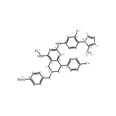 CCNc1nc(Nc2ccc(-n3ncnc3C)c(F)c2)nc2c1CN(Cc1ccc(OC)cc1)CC2c1ccc(F)cc1